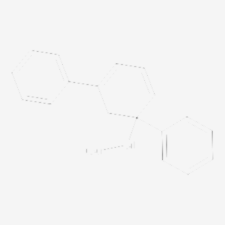 CC(C)(C)[SiH2]C1(c2ccccc2)C=CC=C(c2ccccc2)C1